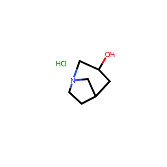 Cl.OC1CC2CCN(C1)C2